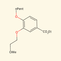 CCCCCOc1ccc(C(=O)OCC)cc1OCCOC